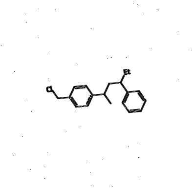 CCC(CC(C)c1ccc(CCl)cc1)c1ccccc1